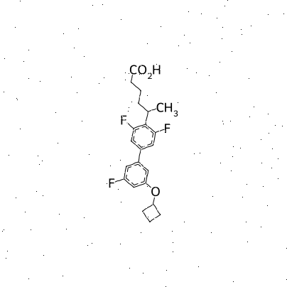 CC(CCCC(=O)O)c1c(F)cc(-c2cc(F)cc(OC3CCC3)c2)cc1F